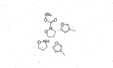 Cc1coc([C@@H]2CCON2)c1.Cc1coc([C@@H]2CCON2C(=O)OC(C)(C)C)c1